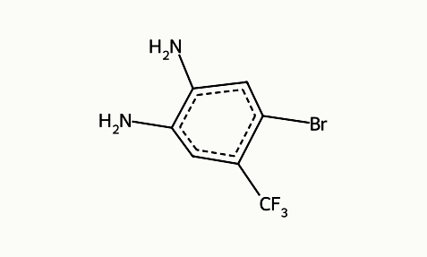 Nc1cc(Br)c(C(F)(F)F)cc1N